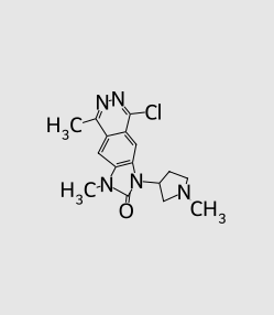 Cc1nnc(Cl)c2cc3c(cc12)n(C)c(=O)n3C1CCN(C)C1